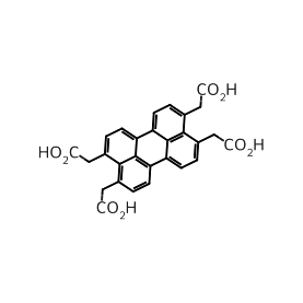 O=C(O)Cc1ccc2c3ccc(CC(=O)O)c4c(CC(=O)O)ccc(c5ccc(CC(=O)O)c1c25)c43